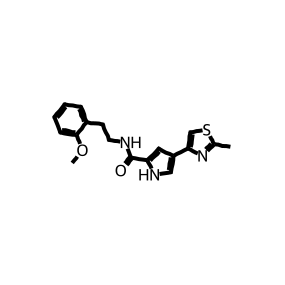 COc1ccccc1CCNC(=O)c1cc(-c2csc(C)n2)c[nH]1